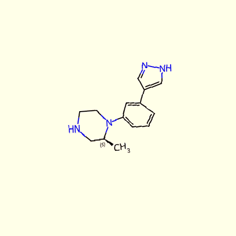 C[C@H]1CNCCN1c1cccc(-c2cn[nH]c2)c1